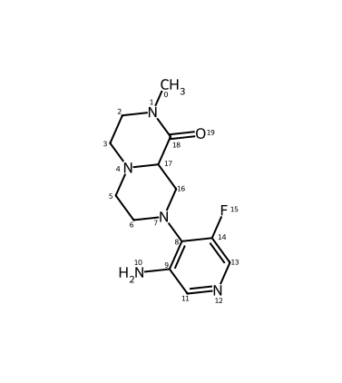 CN1CCN2CCN(c3c(N)cncc3F)CC2C1=O